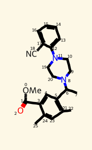 COC(=O)c1cc(C(C)N2CCN(c3ccccc3C#N)CC2)c(C)cc1C